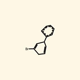 BrC1=CC(c2ccccc2)C=CC1